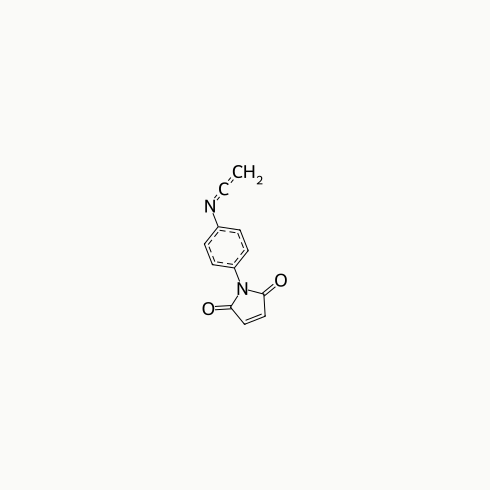 C=C=Nc1ccc(N2C(=O)C=CC2=O)cc1